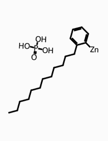 CCCCCCCCCCCCc1cccc[c]1[Zn].O=P(O)(O)O